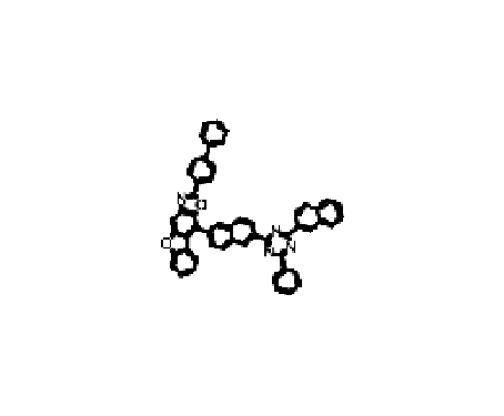 c1ccc(-c2ccc(-c3nc4cc5oc6ccccc6c5c(-c5ccc6cc(-c7nc(-c8ccccc8)nc(-c8ccc9ccccc9c8)n7)ccc6c5)c4o3)cc2)cc1